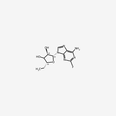 CC[C@H]1O[C@@H](n2cnc3c(N)nc(F)nc32)[C@H](O)C1O